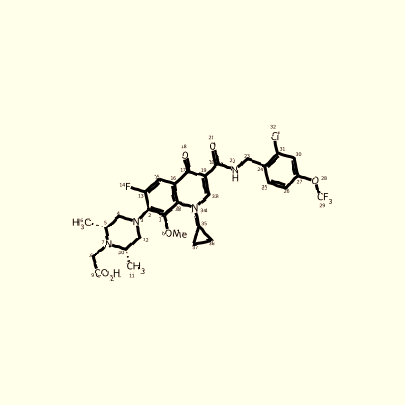 COc1c(N2C[C@@H](C)N(CC(=O)O)[C@@H](C)C2)c(F)cc2c(=O)c(C(=O)NCc3ccc(OC(F)(F)F)cc3Cl)cn(C3CC3)c12